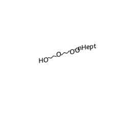 CCCCCCCOCOCCCCOCCCCO